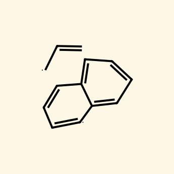 [CH2]C=C.[c]1cccc2ccccc12